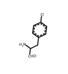 NC([C]=O)Cc1ccc(Cl)cc1